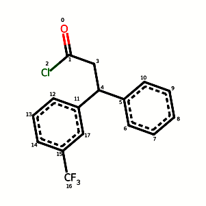 O=C(Cl)CC(c1ccccc1)c1cccc(C(F)(F)F)c1